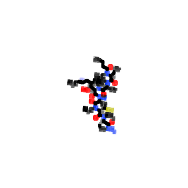 C/C=C/C[C@@H](C)[C@@H](O)[C@@H](C(=O)N[C@@H](CC)C(=O)N(C)[C@H](CS)C(=O)N(C)[C@@H](CC(C)C)C(N)=O)N(C)C(=O)[C@H](C(C)C)N(C)C(=O)[C@H](CC(C)C)N(C)C(=O)CCC(C)C